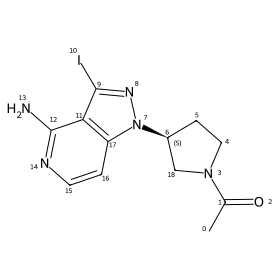 CC(=O)N1CC[C@H](n2nc(I)c3c(N)nccc32)C1